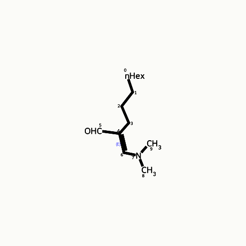 CCCCCCCCC/C(C=O)=C\N(C)C